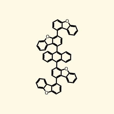 c1ccc2c(c1)oc1cccc(-c3ccc(-c4c5ccccc5c(-c5ccc(-c6cccc7oc8ccccc8c67)c6c5oc5ccccc56)c5ccccc45)c4c3oc3ccccc34)c12